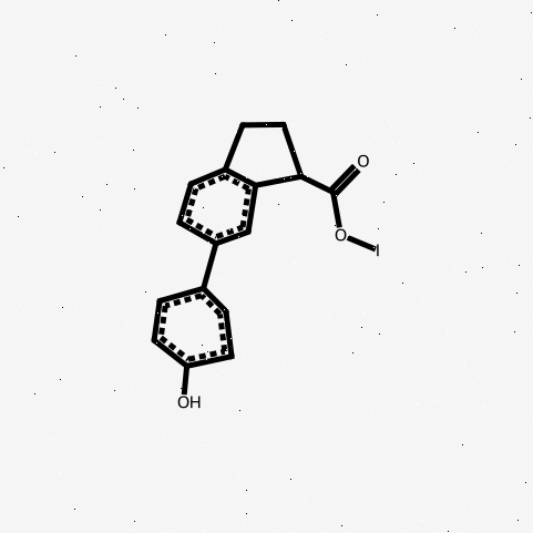 O=C(OI)C1CCc2ccc(-c3ccc(O)cc3)cc21